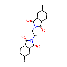 CC1CCC2C(=O)N(CC(C)N3C(=O)C4CCC(C)CC4C3=O)C(=O)C2C1